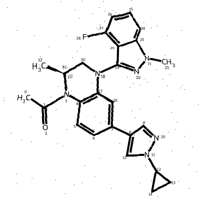 CC(=O)N1c2ccc(-c3cnn(C4CC4)c3)cc2N(c2nn(C)c3cccc(F)c23)C[C@@H]1C